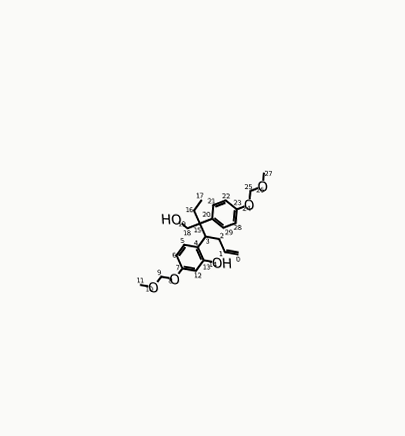 C=CCC(c1ccc(OCOC)cc1O)C(CC)(CO)c1ccc(OCOC)cc1